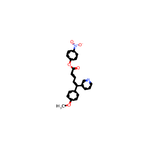 COc1ccc(/C(=C/C=C/C(=O)Oc2ccc([N+](=O)[O-])cc2)c2cccnc2)cc1